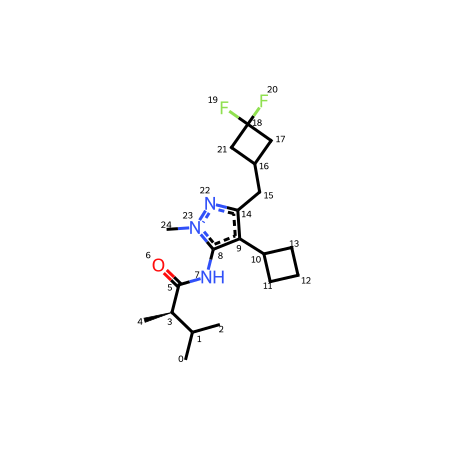 CC(C)[C@@H](C)C(=O)Nc1c(C2CCC2)c(CC2CC(F)(F)C2)nn1C